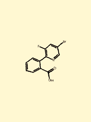 O=C(O)c1ccccc1-c1ncc(Br)cc1F